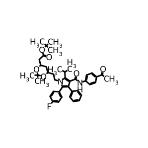 CC(=O)c1ccc(NC(=O)c2c(-c3ccccc3)c(-c3ccc(F)cc3)n(CCC3CC(CC(=O)OC(C)(C)C)OC(C)(C)O3)c2C(C)C)cc1